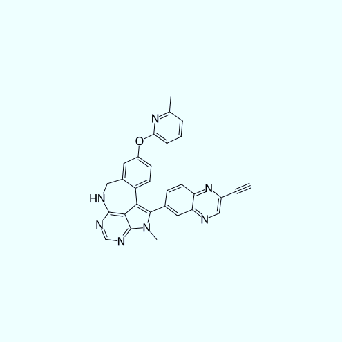 C#Cc1cnc2cc(-c3c4c5c(ncnc5n3C)NCc3cc(Oc5cccc(C)n5)ccc3-4)ccc2n1